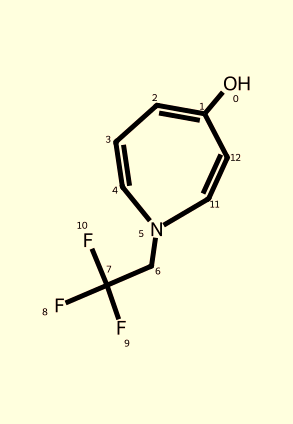 OC1=CC=CN(CC(F)(F)F)C=C1